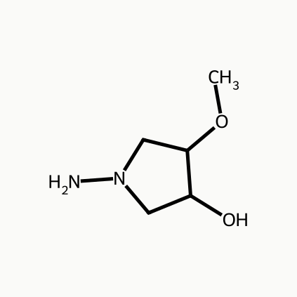 COC1CN(N)CC1O